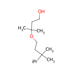 CC(C)C(C)(C)CCOC(C)(C)CCO